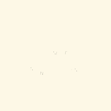 N#Cc1ccc(Cn2cncc2CCNCc2c(F)cccc2F)cc1